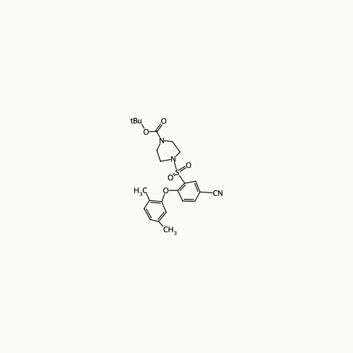 Cc1ccc(C)c(Oc2ccc(C#N)cc2S(=O)(=O)N2CCN(C(=O)OC(C)(C)C)CC2)c1